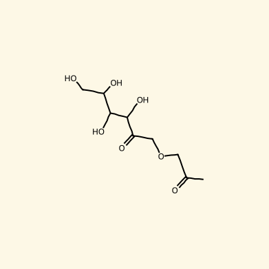 CC(=O)COCC(=O)C(O)C(O)C(O)CO